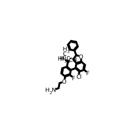 C=C(NC)c1ccc(OCCN)c(F)c1-c1c(Cl)c(F)cc2c1[C@H](C)C(c1ccccc1)O2